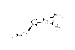 COC(=O)CCCC#Cc1cccc(NC(=O)[C@H](CCC(N)=O)NC(=O)OC(C)(C)C)c1C